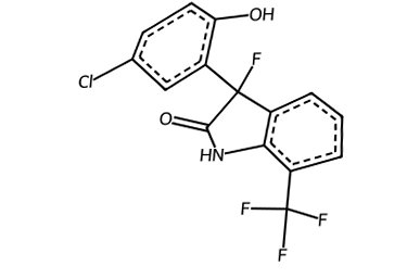 O=C1Nc2c(C(F)(F)F)cccc2C1(F)c1cc(Cl)ccc1O